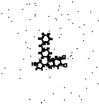 Clc1cc2nc(C3CCNC3)n(C3CCN(Cc4ccccc4)CC3)c2cc1Cl